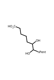 CCCCCC(O)C(O)CCCCC(=O)O